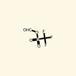 O=COS(=O)(=O)C(F)(F)F